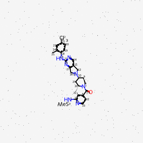 CSNc1cc(C(=O)N2CC[C@H](N3Cc4cnc(Nc5ccc(C(F)(F)F)cc5C)nc4C3)C[C@H]2C)ccn1